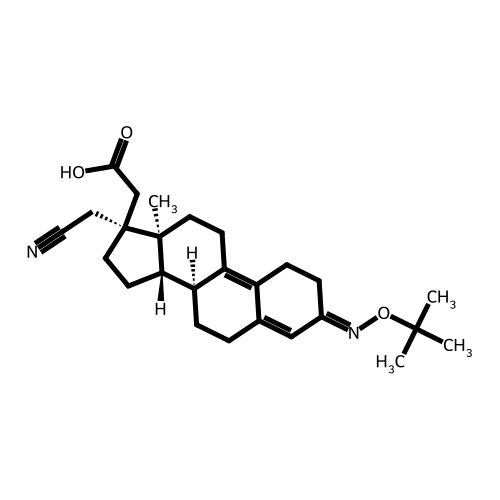 CC(C)(C)O/N=C1/C=C2CC[C@@H]3C(=C2CC1)CC[C@@]1(C)[C@H]3CC[C@@]1(CC#N)CC(=O)O